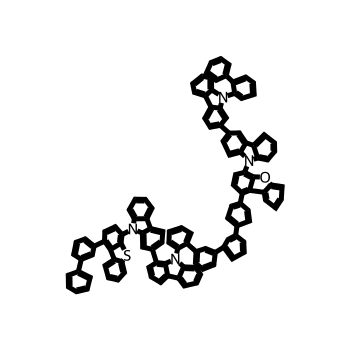 c1ccc(-c2cccc(-c3ccc(-n4c5ccccc5c5ccc(-c6cccc7c8ccccc8n(-c8ccccc8-c8cccc(-c9cccc(-c%10ccc(-c%11ccc(-n%12c%13ccccc%13c%13cc(-c%14ccc%15c%16ccccc%16n(-c%16ccccc%16-c%16ccccc%16)c%15c%14)ccc%13%12)c%12oc%13ccccc%13c%11%12)cc%10)c9)c8)c67)cc54)c4sc5ccccc5c34)c2)cc1